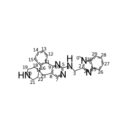 Cn1c(CNc2ncc3c(n2)-c2ccccc2C2(CCNCC2)C3)nc2ccccc21